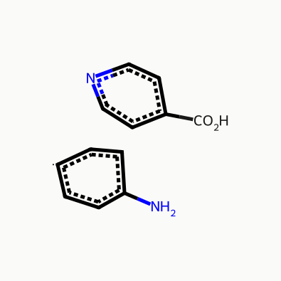 Nc1cc[c]cc1.O=C(O)c1ccncc1